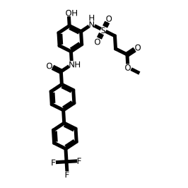 COC(=O)CCS(=O)(=O)Nc1cc(NC(=O)c2ccc(-c3ccc(C(F)(F)F)cc3)cc2)ccc1O